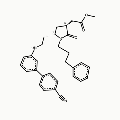 COC(=O)C[C@@H]1C[C@@H](CCNc2cccc(-c3ccc(C#N)cc3)c2)N(CCCc2ccccc2)C1=O